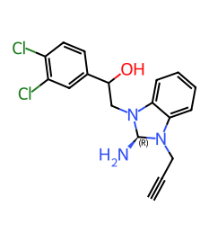 C#CCN1c2ccccc2N(CC(O)c2ccc(Cl)c(Cl)c2)[C@@H]1N